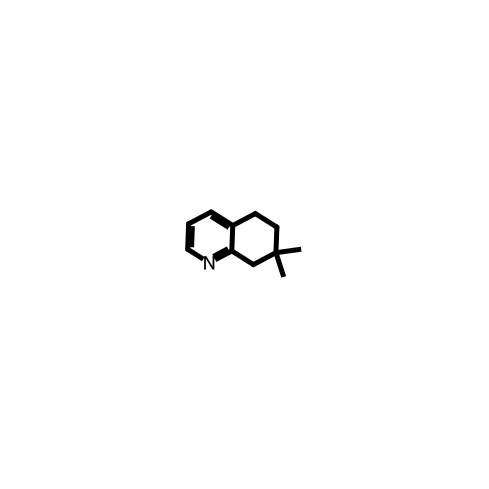 CC1(C)CCc2cccnc2C1